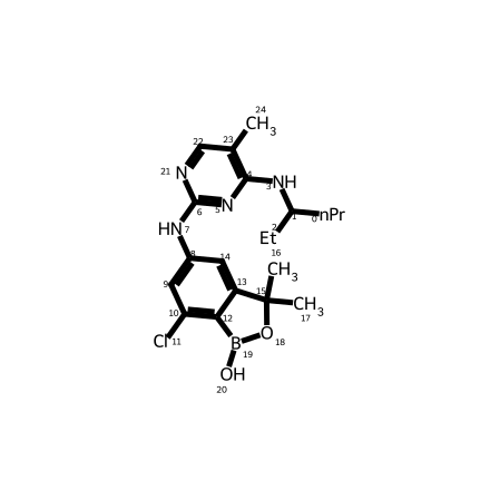 CCCC(CC)Nc1nc(Nc2cc(Cl)c3c(c2)C(C)(C)OB3O)ncc1C